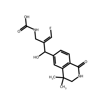 CC1(C)CNC(=O)c2ccc(C(O)C(=CF)CNC(=O)O)cc21